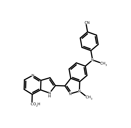 CN(c1ccc(C#N)cc1)c1ccc2c(-c3cc4nccc(C(=O)O)c4[nH]3)nn(C)c2c1